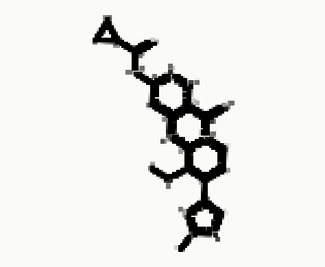 COc1c(-c2cnn(C)n2)ccn2c(=O)c3nnc(NC(=O)C4CC4)cc3nc12